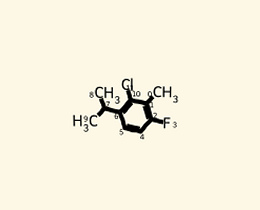 Cc1c(F)ccc(C(C)C)c1Cl